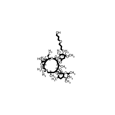 CC[C@H]1OC(=O)[C@H](C)[C@@H](OC2C[C@@](C)(OC)[C@@H](OCCCOCCCO)[C@H](C)O2)[C@H](C)[C@@H](O[C@@H]2O[C@H](C)C[C@H](N(C)C)[C@H]2OC(C)=O)[C@](C)(O)C[C@@H](C)CN(C)[C@@H](C)[C@H]2O[C@@H](O)C23O[C@]13C